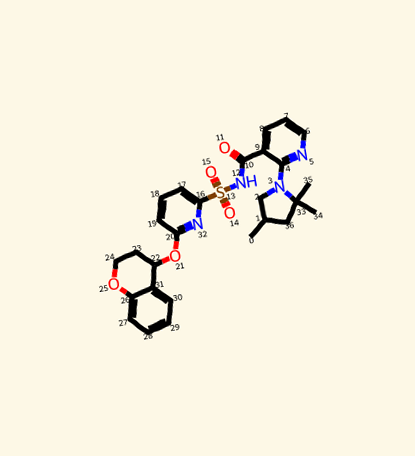 CC1CN(c2ncccc2C(=O)NS(=O)(=O)c2cccc(OC3CCOc4ccccc43)n2)C(C)(C)C1